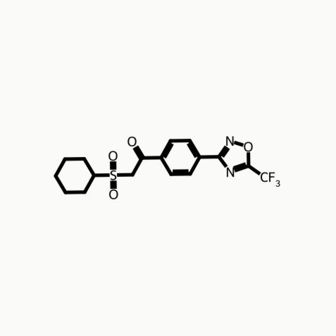 O=C(CS(=O)(=O)C1CCCCC1)c1ccc(-c2noc(C(F)(F)F)n2)cc1